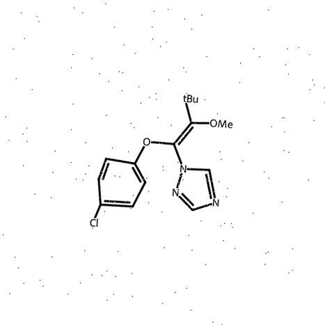 COC(=C(Oc1ccc(Cl)cc1)n1cncn1)C(C)(C)C